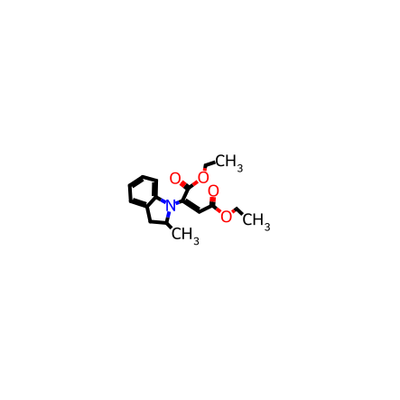 CCOC(=O)C=C(C(=O)OCC)N1c2ccccc2CC1C